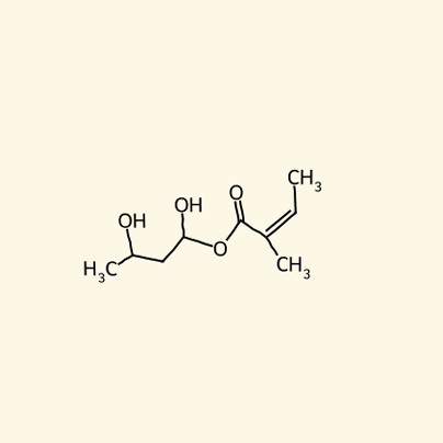 CC=C(C)C(=O)OC(O)CC(C)O